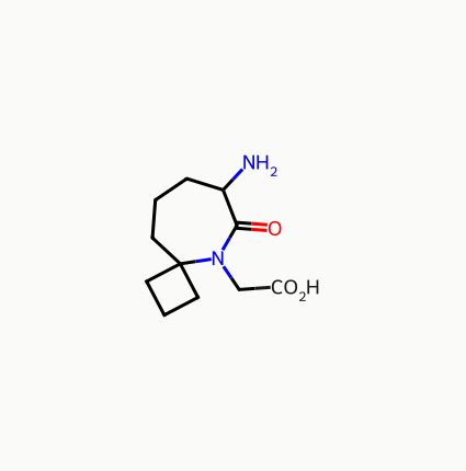 NC1CCCC2(CCC2)N(CC(=O)O)C1=O